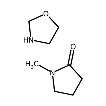 C1COCN1.CN1CCCC1=O